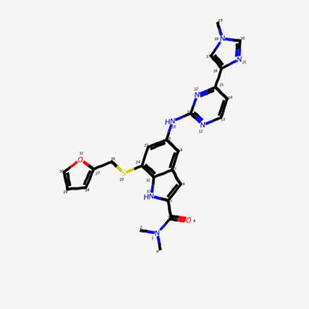 CN(C)C(=O)c1cc2cc(Nc3nccc(-c4cn(C)cn4)n3)cc(SCc3ccco3)c2[nH]1